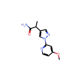 COc1ccnc(-n2cc(C(C)C(N)=O)cn2)c1